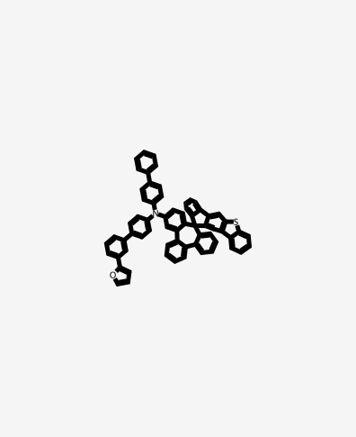 c1ccc(-c2ccc(N(c3ccc(-c4cccc(-c5ccco5)c4)cc3)c3ccc4c(c3)-c3ccccc3-c3ccccc3C43c4ccccc4-c4cc5sc6ccccc6c5cc43)cc2)cc1